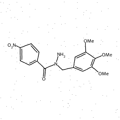 COc1cc(CN(N)C(=O)c2ccc([N+](=O)[O-])cc2)cc(OC)c1OC